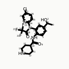 CC(O)c1ccc(NC(=O)C2CCNCC2)c(N(C(=O)C(F)(F)F)c2ccc(Cl)cn2)c1